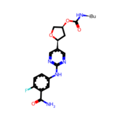 CC[C@H](C)NC(=O)O[C@@H]1CO[C@H](c2cnc(Nc3ccc(F)c(C(N)=O)c3)nc2)C1